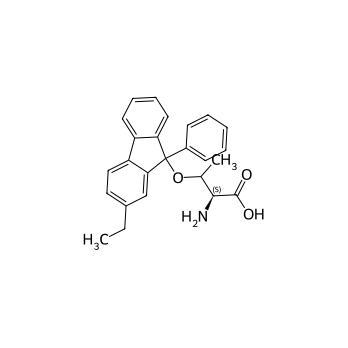 CCc1ccc2c(c1)C(OC(C)[C@H](N)C(=O)O)(c1ccccc1)c1ccccc1-2